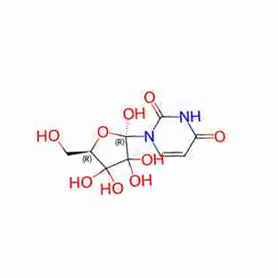 O=c1ccn([C@]2(O)O[C@H](CO)C(O)(O)C2(O)O)c(=O)[nH]1